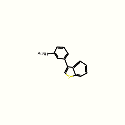 CC(=O)Nc1cccc(-c2csc3ccccc23)c1